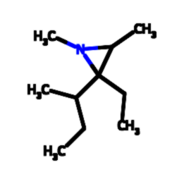 CCC(C)C1(CC)C(C)N1C